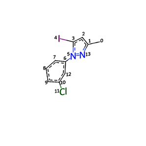 Cc1cc(I)n(-c2cccc(Cl)c2)n1